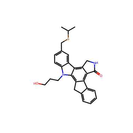 CC(C)SCc1ccc2c(c1)c1c3c(c4c(c1n2CCCO)Cc1ccccc1-4)C(=O)NC3